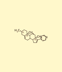 C[C@H]1CC[C@@]2(C)C(=CCC3C2CC[C@]2(C)C(c4ccncc4)=CCC32)C1